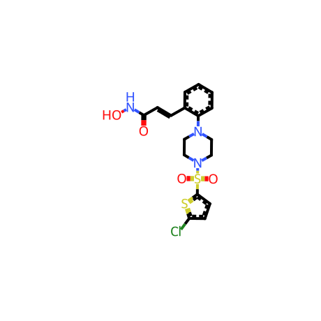 O=C(C=Cc1ccccc1N1CCN(S(=O)(=O)c2ccc(Cl)s2)CC1)NO